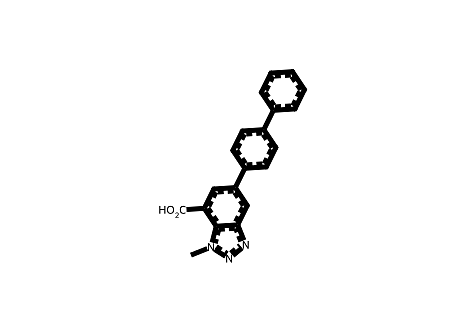 Cn1nnc2cc(-c3ccc(-c4ccccc4)cc3)cc(C(=O)O)c21